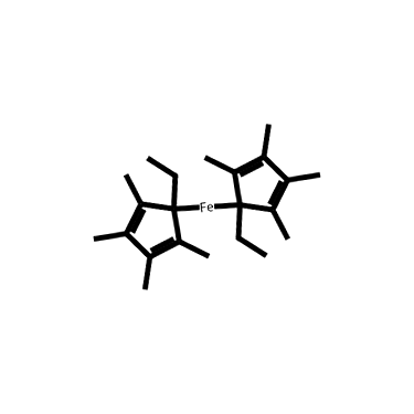 CC[C]1([Fe][C]2(CC)C(C)=C(C)C(C)=C2C)C(C)=C(C)C(C)=C1C